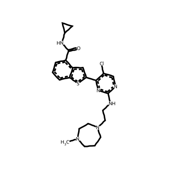 CN1CCCN(CCNc2ncc(Cl)c(-c3cc4c(C(=O)NC5CC5)cccc4s3)n2)CC1